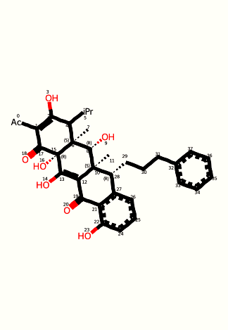 CC(=O)C1=C(O)C(C(C)C)[C@@]2(C)[C@H](O)[C@]3(C)C(=C(O)[C@@]2(O)C1=O)C(=O)c1c(O)cccc1[C@H]3CCCc1ccccc1